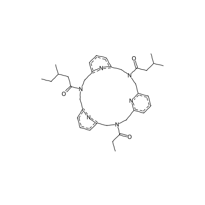 CCC(=O)N1Cc2cccc(n2)CN(C(=O)CC(C)C)Cc2cccc(n2)CN(C(=O)CC(C)CC)Cc2cccc(n2)C1